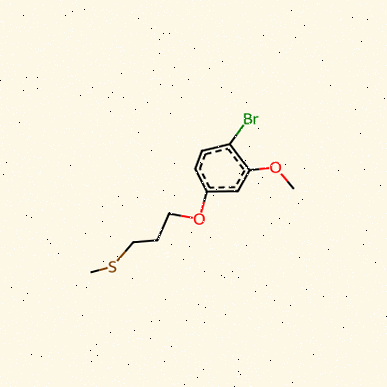 COc1cc(OCCCSC)ccc1Br